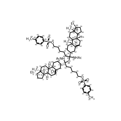 CC[C@H]1CC[C@H]2[C@@H]3CC=C4C[C@@H](C(CCCCCOS(=O)(=O)c5ccc(C)cc5)(NC(C)=O)OC(CCCCCOS(=O)(=O)c5ccc(C)cc5)(NC(C)=O)[C@H]5CC[C@@]6(C)C(=CC[C@H]7[C@@H]8CC[C@H](CC)[C@@]8(C)CC[C@@H]76)C5)CC[C@]4(C)[C@H]3CC[C@]12C